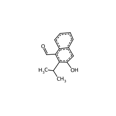 CC(C)c1c(O)cc2ccccc2c1C=O